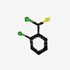 SC(Cl)c1ccccc1Cl